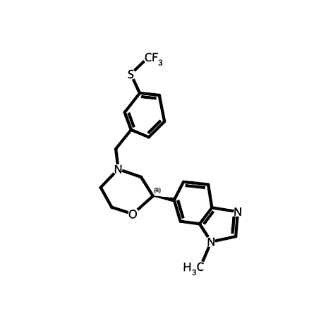 Cn1cnc2ccc([C@@H]3CN(Cc4cccc(SC(F)(F)F)c4)CCO3)cc21